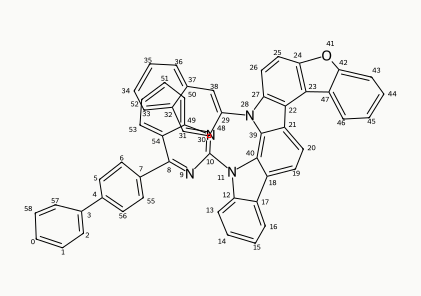 c1ccc(-c2ccc(-c3nc(-n4c5ccccc5c5ccc6c7c8c(ccc7n(-c7ccc9ccccc9c7)c6c54)oc4ccccc48)nc4ccccc34)cc2)cc1